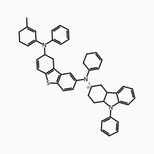 CC1=CC(N(c2ccccc2)C2C=Cc3sc4ccc(N(C5=CC=CCC5)[C@H]5CCC6C(C5)c5ccccc5N6c5ccccc5)cc4c3C2)=CCC1